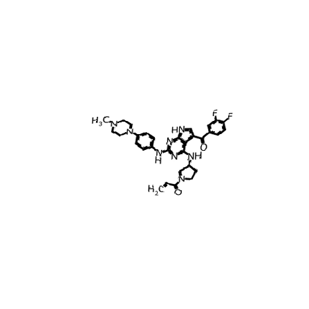 C=CC(=O)N1CC[C@H](Nc2nc(Nc3ccc(N4CCN(C)CC4)cc3)nc3[nH]cc(C(=O)c4ccc(F)c(F)c4)c23)C1